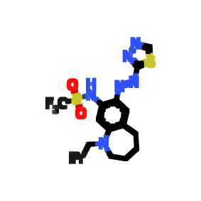 CC(C)CN1CCCCc2cc(N=Nc3nncs3)c(NS(=O)(=O)C(F)(F)F)cc21